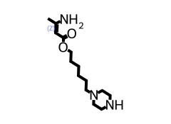 C/C(N)=C/C(=O)OCCCCCCN1CCNCC1